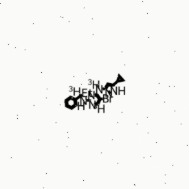 [3H]c1nc(N([3H])C([3H])(CC)c2ccccc2)nc(N([3H])c2cc(C3CC3)[nH]n2)c1Br